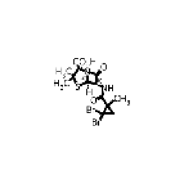 CC1(C)S[C@@H]2[C@H](NC(=O)C3(C)CC3(Br)Br)C(=O)N2[C@H]1C(=O)O